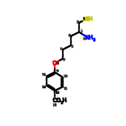 NC(CS)CCCCOc1ccc(C(=O)O)cc1